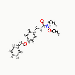 CON(C)C(=O)CCc1ccc(OCc2ccccc2)cc1